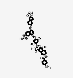 COc1cc(N=Nc2ccc(N=Nc3ccc4cc(S(=O)(=O)O)ccc4c3)c3ccc(S(=O)(=O)O)cc23)c(OC)cc1N=Nc1c(S(=O)(=O)O)cc2cc(NC(=O)c3ccc(N)cc3)ccc2c1O